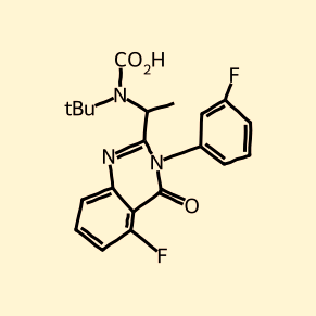 CC(c1nc2cccc(F)c2c(=O)n1-c1cccc(F)c1)N(C(=O)O)C(C)(C)C